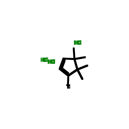 CC1(C)C=C=[C]([Ti])C1(C)C.Cl.Cl.Cl